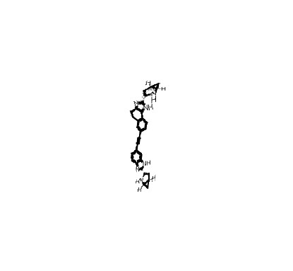 C(#Cc1ccc2nc([C@@H]3C[C@H]4C[C@H]4N3)[nH]c2c1)c1ccc2c(c1)CCc1nc([C@@H]3C[C@H]4C[C@H]4N3)[nH]c1-2